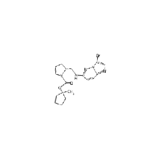 CC1(OC(=O)N2CCCC2CNc2ccc3ncc(Br)n3n2)CCCC1